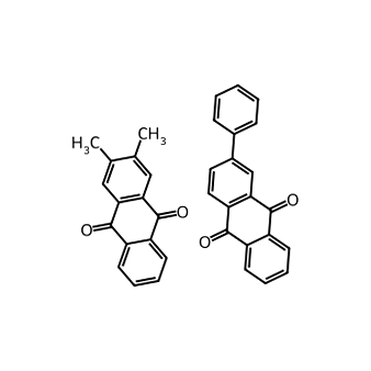 Cc1cc2c(cc1C)C(=O)c1ccccc1C2=O.O=C1c2ccccc2C(=O)c2cc(-c3ccccc3)ccc21